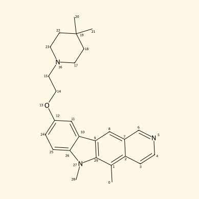 Cc1c2ccncc2cc2c3cc(OCCN4CCC(C)(C)CC4)ccc3n(C)c12